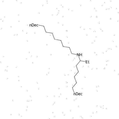 CCCCCCCCCCCCCCCCCCNC(CC)CCCCCCCCCCCCCCC